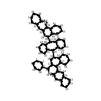 c1ccc(-c2nc3cc4ccccc4cc3c3c2cc(-c2c4ccccc4c(-c4cc5cc6ccccc6nc5c5ccccc45)c4ccccc24)c2ccccc23)cc1